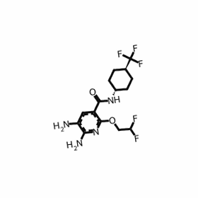 Nc1cc(C(=O)N[C@H]2CC[C@H](C(F)(F)F)CC2)c(OCC(F)F)nc1N